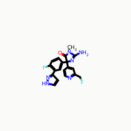 CN1C(=O)C(c2ccnc(CF)c2)(c2ccc(F)c(-c3cc[nH]n3)c2)N=C1N